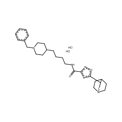 Cl.Cl.O=C(NCCCCC1CCN(Cc2ccccc2)CC1)c1noc(C2CN3CCC2CC3)n1